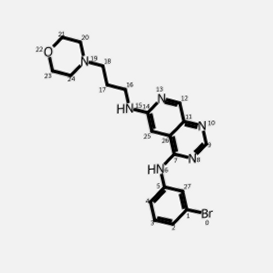 Brc1cccc(Nc2ncnc3cnc(NCCCN4CCOCC4)cc23)c1